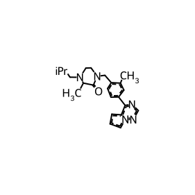 Cc1cc(-c2ncnn3cccc23)ccc1CN1CCN(CC(C)C)C(C)C1=O